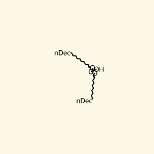 CCCCCCCCCCCCCCCCCCC=COP(=O)(O)OC=CCCCCCCCCCCCCCCCCCC